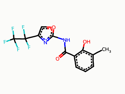 Cc1cccc(C(=O)Nc2nc(C(F)(F)C(F)(F)F)co2)c1O